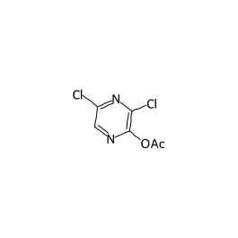 CC(=O)Oc1ncc(Cl)nc1Cl